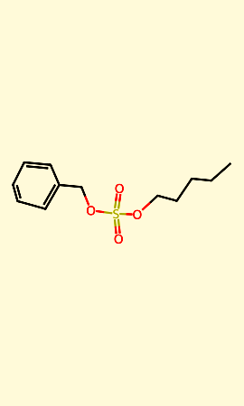 CCCCCOS(=O)(=O)OCc1ccccc1